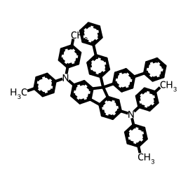 Cc1ccc(N(c2ccc(C)cc2)c2ccc3c(c2)C(c2ccc(-c4ccccc4)cc2)(c2ccc(-c4ccccc4)cc2)c2cc(N(c4ccc(C)cc4)c4ccc(C)cc4)ccc2-3)cc1